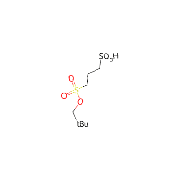 CC(C)(C)COS(=O)(=O)CCCS(=O)(=O)O